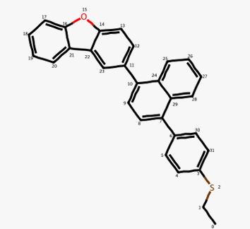 CCSc1ccc(-c2ccc(-c3ccc4oc5ccccc5c4c3)c3ccccc23)cc1